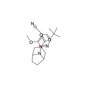 COc1c(C#N)ccnc1N1C2CCC1CN(C(=O)OC(C)(C)C)C2